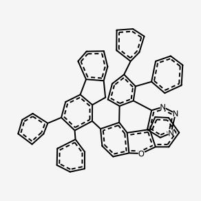 c1ccc(-c2ccc(-c3c(-c4c5c(cc(-c6ccccc6)c4-c4ccccc4)-c4ccccc4C5)ccc4oc5ccccc5c34)c(-c3ccnnn3)c2-c2ccccc2)cc1